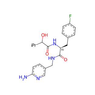 CC(C)C(O)C(=O)N[C@@H](Cc1ccc(F)cc1)C(=O)NCc1ccc(N)nc1